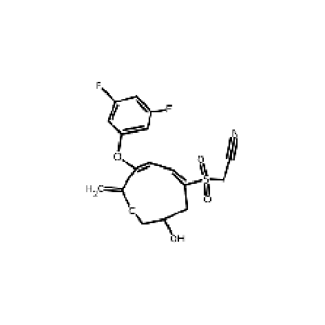 C=C1CCC(O)C/C(S(=O)(=O)CC#N)=C\C=C/1Oc1cc(F)cc(F)c1